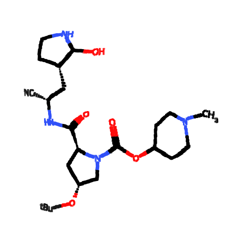 CN1CCC(OC(=O)N2C[C@H](OC(C)(C)C)C[C@H]2C(=O)N[C@H](C#N)C[C@@H]2CCNC2O)CC1